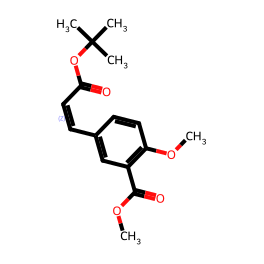 COC(=O)c1cc(/C=C\C(=O)OC(C)(C)C)ccc1OC